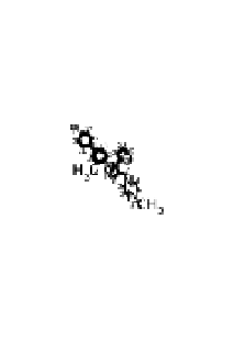 CCN1CCN(Cc2cnn(-c3ccc(-c4ccc(F)cc4)cc3C)c2-c2ccco2)CC1